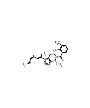 C=N/C=N\C=C(/C)n1nnc2c1CCN(C(=O)c1cccc(C(F)(F)F)c1Cl)[C@@H]2C